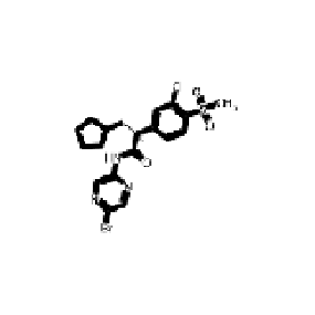 CS(=O)(=O)c1ccc([C@@H](CC2CCCC2)C(=O)Nc2cnc(Br)cn2)cc1Cl